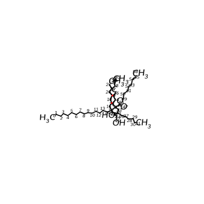 CCCCCCCCCCCCCCCC(CCCCCCCC)(CCCCCCCC)C(CCCCCCCC)(CC(O)CO)C(=O)OCCCCCCCC